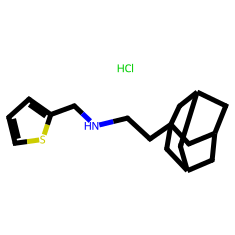 Cl.c1csc(CNCCC23CC4CC(CC(C4)C2)C3)c1